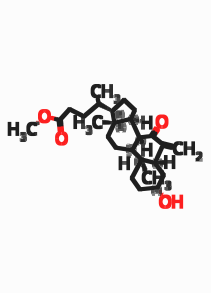 C=C1C(=O)[C@@H]2[C@H](CC[C@]3(C)[C@@H](C(C)CCC(=O)OC)CC[C@@H]23)[C@@]2(C)CC[C@@H](O)C[C@@H]12